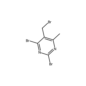 Cc1nc(Br)nc(Br)c1CBr